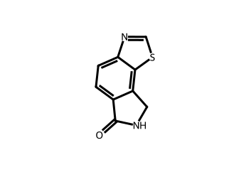 O=C1NCc2c1ccc1ncsc21